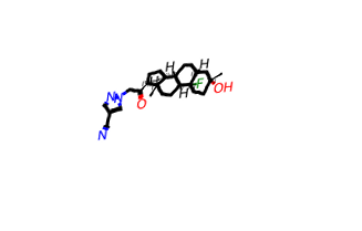 C[C@@]1(O)CC[C@@]2(F)[C@H](CC[C@H]3[C@@H]4CC[C@H](C(=O)Cn5cc(C#N)cn5)[C@@]4(C)CC[C@@H]32)C1